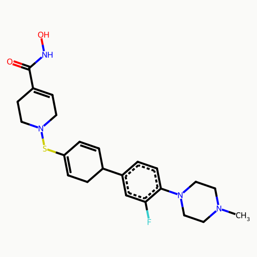 CN1CCN(c2ccc(C3C=CC(SN4CC=C(C(=O)NO)CC4)=CC3)cc2F)CC1